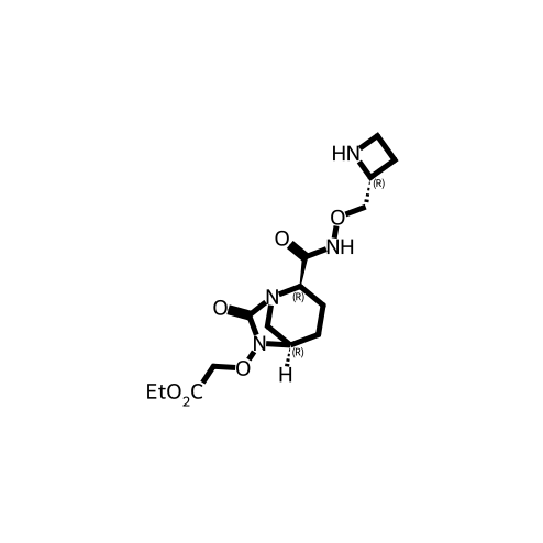 CCOC(=O)CON1C(=O)N2C[C@H]1CC[C@@H]2C(=O)NOC[C@H]1CCN1